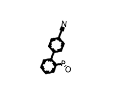 N#Cc1ccc(-c2ccccc2P=O)cc1